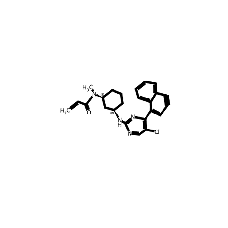 C=CC(=O)N(C)[C@H]1CCC[C@@H](Nc2ncc(Cl)c(-c3cc#cc4ccccc34)n2)C1